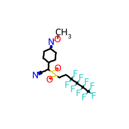 CON=C1CCC(C(C#N)S(=O)(=O)CCC(F)(F)C(F)(F)C(F)(F)C(F)(F)F)CC1